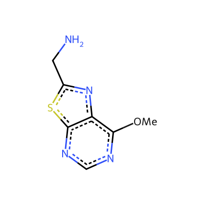 COc1ncnc2sc(CN)nc12